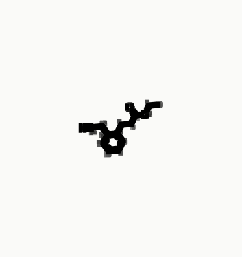 CCOC(=O)CCc1ccccc1CC#N